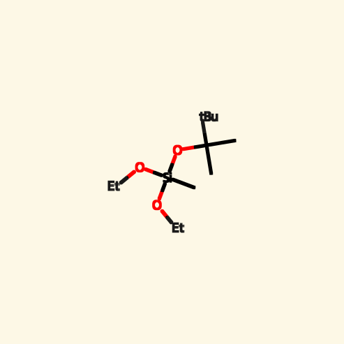 CCO[Si](C)(OCC)OC(C)(C)C(C)(C)C